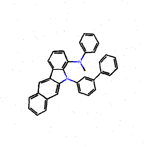 CN(c1ccccc1)c1cccc2c3cc4ccccc4cc3n(-c3cccc(-c4ccccc4)c3)c12